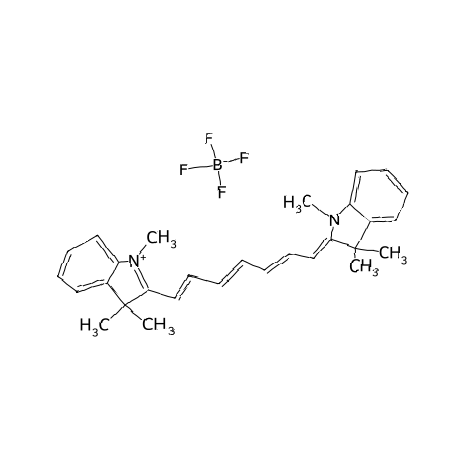 CN1\C(=C/C=C/C=C/C=C/C2=[N+](C)c3ccccc3C2(C)C)C(C)(C)c2ccccc21.F[B-](F)(F)F